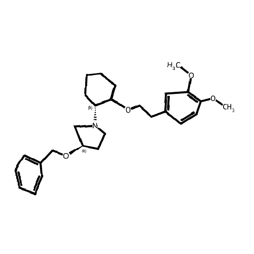 COc1ccc(CCOC2CCCC[C@H]2N2CC[C@@H](OCc3ccccc3)C2)cc1OC